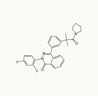 CC(C)(C(=O)N1CCCC1)c1cccc(-c2nn(-c3ccc(F)cc3F)c(=O)c3ccccc23)c1